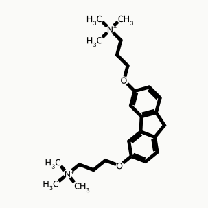 C[N+](C)(C)CCCOc1ccc2c(c1)-c1cc(OCCC[N+](C)(C)C)ccc1C2